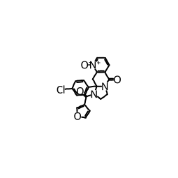 O=C(c1ccoc1)N1CCN2C(=O)c3ccc[n+]([O-])c3CC12c1ccc(Cl)cc1